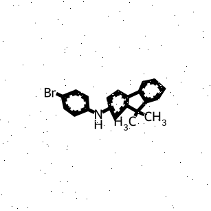 CC1(C)c2ccccc2-c2ccc(Nc3ccc(Br)cc3)cc21